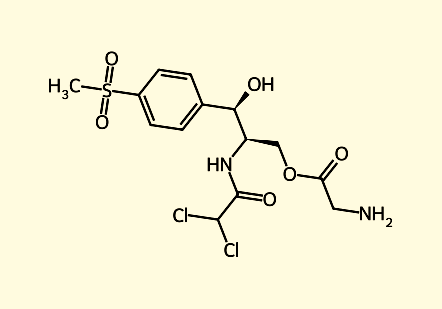 CS(=O)(=O)c1ccc([C@@H](O)[C@@H](COC(=O)CN)NC(=O)C(Cl)Cl)cc1